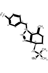 C=C1CC[C@@H](O[Si](C)(C)C(C)(C)C)c2nnn(Cc3ccc(C(F)(F)F)cc3)c21